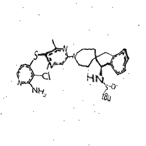 Cc1nc(N2CCC3(CC2)Cc2ccccc2[C@H]3N[S+]([O-])C(C)(C)C)cnc1Sc1ccnc(N)c1Cl